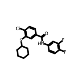 O=C(Nc1ccc(F)c(F)c1)c1ccc(Cl)c(SC2CCCCC2)c1